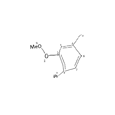 COOc1cc(C)ccc1C(C)C